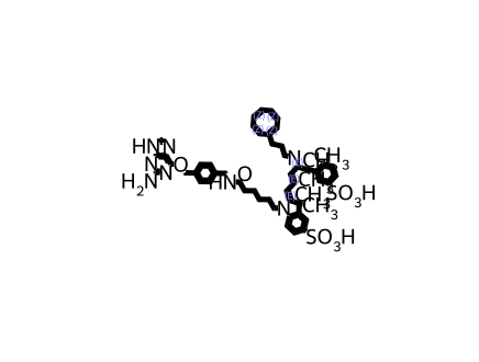 Cc1ccc(S(=O)(=O)O)cc1C(C)(C)C(/C=C/C=C1/N(CCCCCC(=O)NCc2ccc(COc3nc(N)nc4[nH]cnc34)cc2)c2ccc(S(=O)(=O)O)cc2C1(C)C)=N/CCCC1=C/C=C\C=C/C=C\1